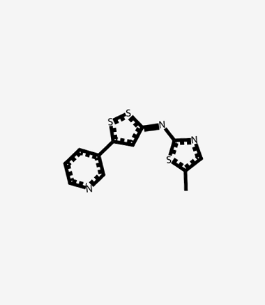 Cc1cnc(N=c2cc(-c3cccnc3)ss2)s1